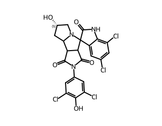 O=C1C2C3C[C@H](O)CN3C3(C(=O)Nc4c(Cl)cc(Cl)cc43)C2C(=O)N1c1cc(Cl)c(O)c(Cl)c1